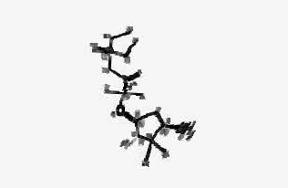 B[C@@H]1C[C@H](OC(C)(C)[PH](=C)CP(=C)(CC)CC)[C@@H](C)C1(C)C